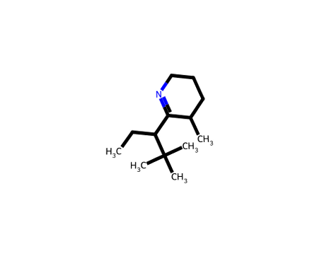 CCC(C1=NCCCC1C)C(C)(C)C